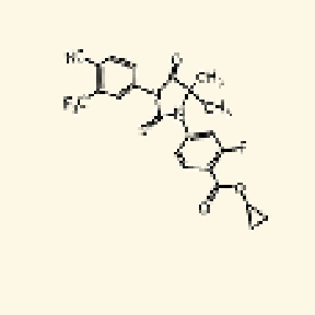 CC1(C)C(=O)N(c2ccc(C#N)c(C(F)(F)F)c2)C(=S)N1c1ccc(C(=O)OC2CC2)c(F)c1